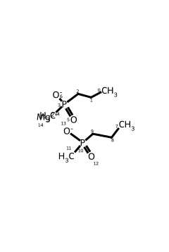 CCCP(C)(=O)[O-].CCCP(C)(=O)[O-].[Mg+2]